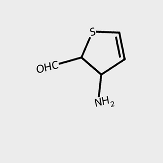 NC1C=CSC1C=O